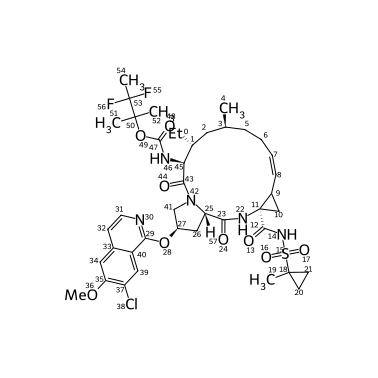 CC[C@@H]1C[C@@H](C)CC/C=C\C2C[C@@]2(C(=O)NS(=O)(=O)C2(C)CC2)NC(=O)[C@@H]2C[C@@H](Oc3nccc4cc(OC)c(Cl)cc34)CN2C(=O)[C@H]1NC(=O)OC(C)(C)C(C)(F)F